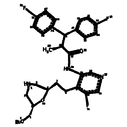 CC(C)COC[C@@H]1CNC[C@@H](CCc2c(F)cncc2NC(=O)[C@@H](C)C(c2ccc(F)cc2)c2ccc(F)cc2)O1